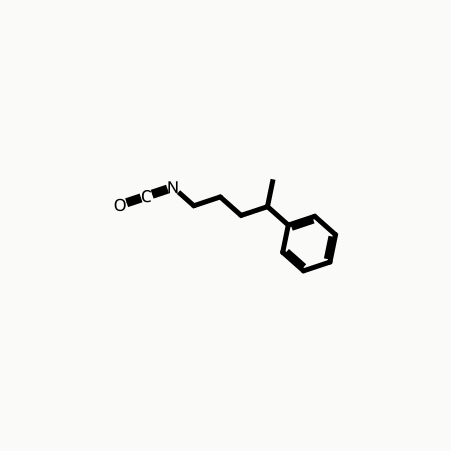 CC(CCCN=C=O)c1ccccc1